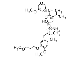 COCCCOc1cc(C[C@@H](C[C@H](N)[C@@H](O)C[C@H](C(=O)N[C@H]2COC[C@@H](OC)C2)C(C)C)C(C)C)ccc1OC